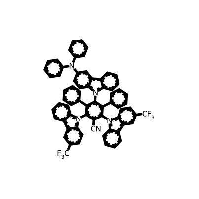 N#Cc1c(-n2c3ccccc3c3cc(C(F)(F)F)ccc32)c(-c2ccccc2)c(-n2c3ccccc3c3cc(N(c4ccccc4)c4ccccc4)ccc32)c(-c2ccccc2)c1-n1c2ccccc2c2cc(C(F)(F)F)ccc21